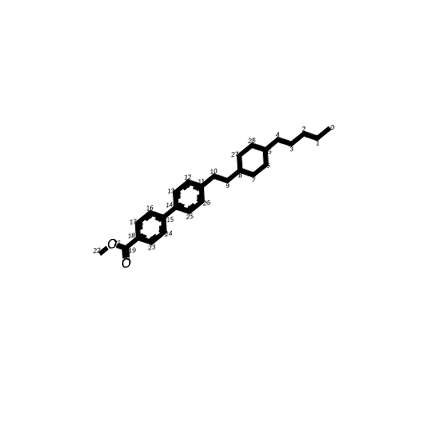 CCCCCC1CCC(CCc2ccc(-c3ccc(C(=O)OC)cc3)cc2)CC1